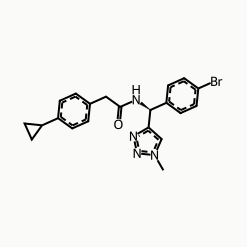 Cn1cc([C@@H](NC(=O)Cc2ccc(C3CC3)cc2)c2ccc(Br)cc2)nn1